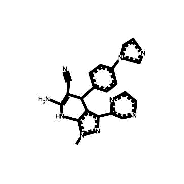 Cn1nc(-c2cnccn2)c2c1NC(N)=C(C#N)C2c1ccc(-n2ccnc2)cc1